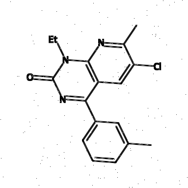 CCn1c(=O)nc(-c2cccc(C)c2)c2cc(Cl)c(C)nc21